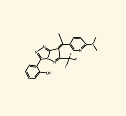 C/C(c1ccc(N(C)C)nc1)=c1/c(C(F)(F)F)nn2c(-c3ccccc3O)nnc12